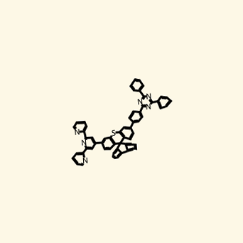 c1ccc(-c2nc(-c3ccccc3)nc(-c3ccc(-c4ccc5c(c4)Sc4cc(-c6cc(-c7ccccn7)nc(-c7ccccn7)c6)ccc4C54c5ccccc5-c5ccccc54)cc3)n2)cc1